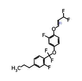 CCCc1ccc(C(F)(F)Oc2ccc(O/C=C/C(F)F)c(F)c2)c(F)c1